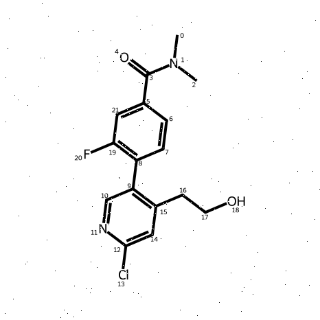 CN(C)C(=O)c1ccc(-c2cnc(Cl)cc2CCO)c(F)c1